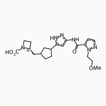 COCCn1nccc1C(=O)Nc1cc(C2CCC(C[C@@H]3CCN3C(=O)O)C2)[nH]n1